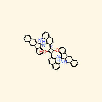 O=C1C(c2ccc3cccc4c3c2NC2(N4)c3ccccc3-c3cc4ccccc4cc32)=C(O)/C1=c1/ccc2cccc3c2c1NC1(N=3)c2ccccc2-c2cc3ccccc3cc21